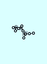 O=P1(c2ccccc2)c2ccccc2-c2cc3c(cc21)c1ccccc1n3-c1ccc(-c2nc(-c3ccccc3)cc(-c3ccc(-c4ccccc4)cc3)n2)cc1